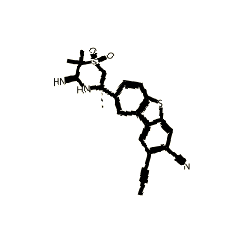 CC#Cc1cc2c(cc1C#N)sc1ccc([C@]3(C)CS(=O)(=O)C(C)(C)C(=N)N3)cc12